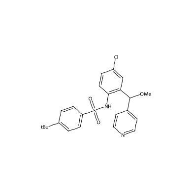 COC(c1ccncc1)c1cc(Cl)ccc1NS(=O)(=O)c1ccc(C(C)(C)C)cc1